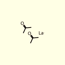 CC(C)=O.CC(C)=O.[La]